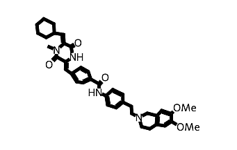 COc1cc2c(cc1OC)CN(CCc1ccc(NC(=O)c3ccc(/C=c4\[nH]c(=O)/c(=C/C5CCCCC5)n(C)c4=O)cc3)cc1)CC2